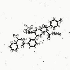 CCC(NC(=O)c1ccc(F)c(-c2cc3c(C(=O)NC)c(-c4ccc(F)cc4)oc3cc2NS(C)(=O)=O)c1)c1ccccc1